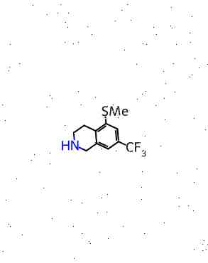 CSc1cc(C(F)(F)F)cc2c1CCNC2